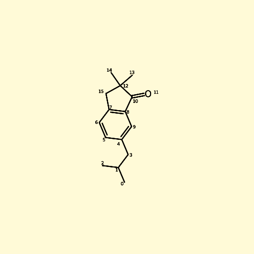 CC(C)Cc1ccc2c(c1)C(=O)C(C)(C)C2